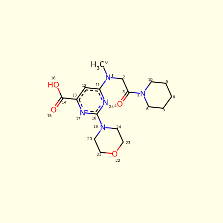 CN(CC(=O)N1CCCCC1)c1cc(C(=O)O)nc(N2CCOCC2)n1